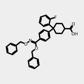 O=C(O)C1CCC(c2ccc(C(=NOCc3ccccc3)OCc3ccccc3)cc2)(c2ccccc2F)CC1